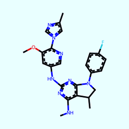 CNc1nc(Nc2cnc(-n3cnc(C)c3)c(OC)c2)nc2c1C(C)CN2c1ccc(F)cc1